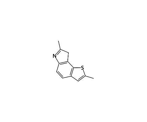 CC1=Nc2ccc3cc(C)sc3c2C1